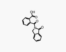 O=C(O)c1ccccc1C(=O)N1Cc2ccccc2C1=O